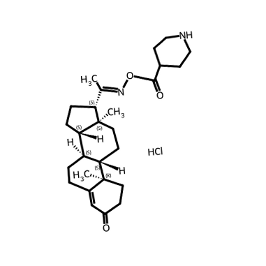 CC(=NOC(=O)C1CCNCC1)[C@H]1CC[C@H]2[C@@H]3CCC4=CC(=O)CC[C@]4(C)[C@H]3CC[C@]12C.Cl